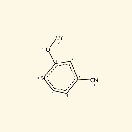 CC(C)Oc1cc(C#N)ccn1